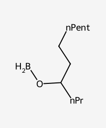 BOC(CCC)CCCCCCC